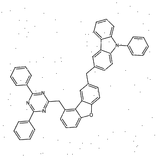 c1ccc(-c2nc(Cc3cccc4oc5ccc(Cc6ccc7c(c6)c6ccccc6n7-c6ccccc6)cc5c34)nc(-c3ccccc3)n2)cc1